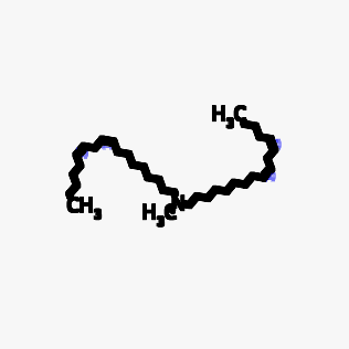 CCCC/C=C\C/C=C\CCCCCCCCN(C)CCCCCCCC/C=C\C/C=C\CCCCC